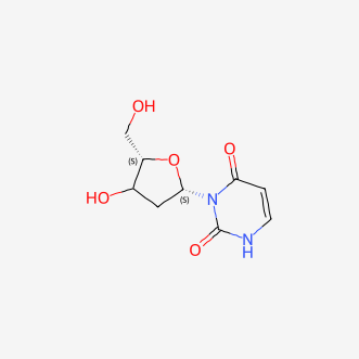 O=c1cc[nH]c(=O)n1[C@@H]1CC(O)[C@H](CO)O1